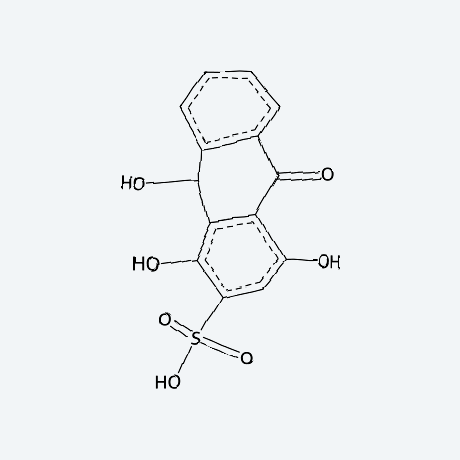 O=C1c2ccccc2C(O)c2c(O)c(S(=O)(=O)O)cc(O)c21